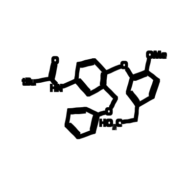 COc1ccc(CC(=O)O)cc1Oc1ccc(NC(=O)C(C)(C)C)cc1COc1ccccc1